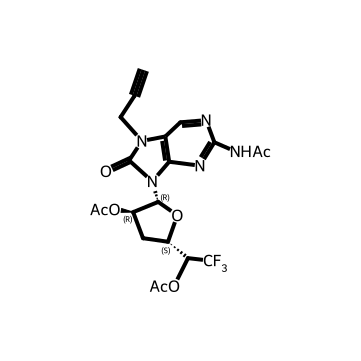 C#CCn1c(=O)n([C@@H]2O[C@H](C(OC(C)=O)C(F)(F)F)C[C@H]2OC(C)=O)c2nc(NC(C)=O)ncc21